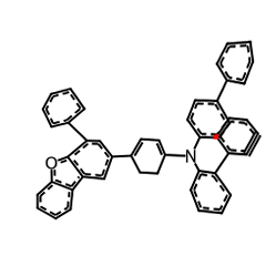 c1cccc(-c2ccccc2N(C2=CC=C(c3cc(-c4ccccc4)c4oc5ccccc5c4c3)CC2)c2ccc(-c3ccccc3)cc2)c#1